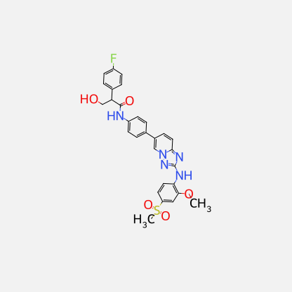 COc1cc(S(C)(=O)=O)ccc1Nc1nc2ccc(-c3ccc(NC(=O)C(CO)c4ccc(F)cc4)cc3)cn2n1